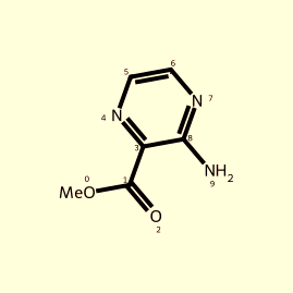 COC(=O)c1nc[c]nc1N